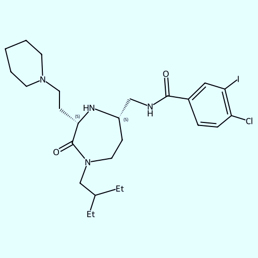 CCC(CC)CN1CC[C@@H](CNC(=O)c2ccc(Cl)c(I)c2)N[C@@H](CCN2CCCCC2)C1=O